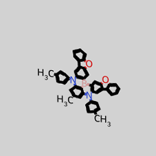 Cc1ccc(N2c3cc4c(cc3B3c5cc6oc7ccccc7c6cc5N(c5ccc(C)cc5)c5cc(C)cc2c53)oc2ccccc24)cc1